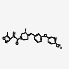 Cc1oncc1NC(=O)N1CCC(=Cc2cccc(Oc3ccc(C(F)(F)F)nc3)c2)C(C)C1